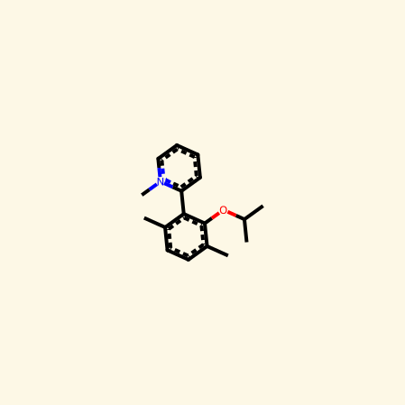 Cc1ccc(C)c(-c2cccc[n+]2C)c1OC(C)C